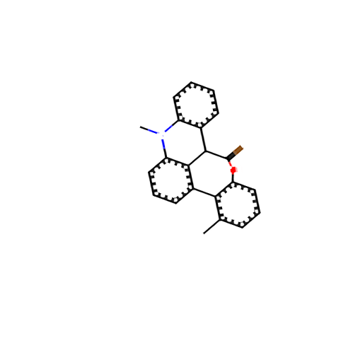 Cc1cccc(C)c1-c1cccc2c1C(C(O)=S)c1ccccc1N2C